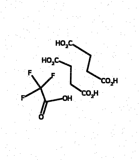 O=C(O)C(F)(F)F.O=C(O)CCC(=O)O.O=C(O)CCC(=O)O